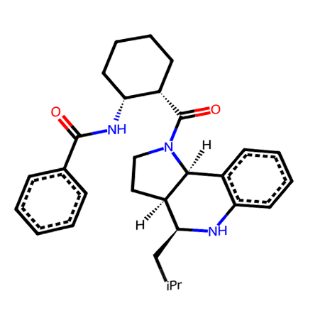 CC(C)C[C@@H]1Nc2ccccc2[C@H]2[C@@H]1CCN2C(=O)[C@H]1CCCC[C@H]1NC(=O)c1ccccc1